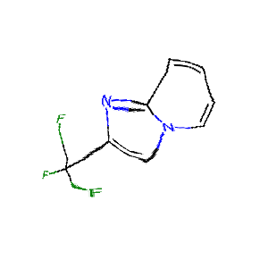 FC(F)(F)c1cn2ccccc2n1